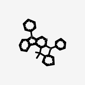 CC1(C)c2ccccc2N(c2ccccc2)c2ncc3c(c21)c1ccccc1n3-c1ccccc1